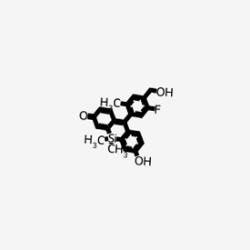 Cc1cc(CO)c(F)cc1C1=C2C=CC(=O)C=C2[Si](C)(C)c2cc(O)ccc21